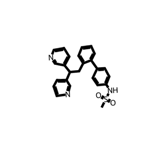 CS(=O)(=O)Nc1ccc(-c2ccccc2CC(c2cccnc2)c2cccnc2)cc1